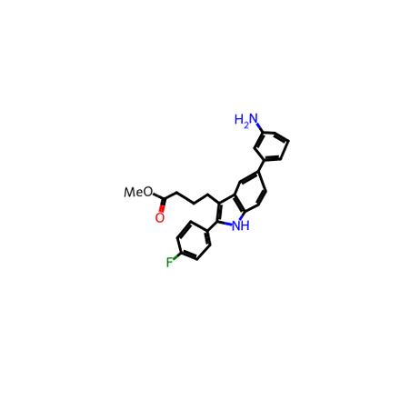 COC(=O)CCCc1c(-c2ccc(F)cc2)[nH]c2ccc(-c3cccc(N)c3)cc12